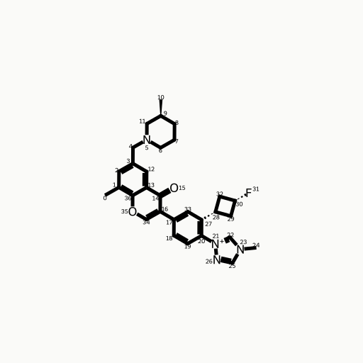 Cc1cc(CN2CCC[C@H](C)C2)cc2c(=O)c(-c3ccc(-[n+]4cn(C)cn4)c([C@H]4C[C@@H](F)C4)c3)coc12